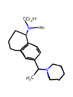 CC(c1ccc2c(c1)CCC[C@H]2N(C(=O)O)C(C)(C)C)N1CCCCC1